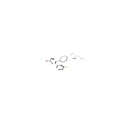 CCCC[C@H]1CC[C@H](C2CCC(c3ccc(C(=O)O)c(F)c3-c3cc(F)c(F)c(F)c3)CC2)CC1